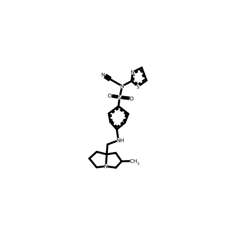 CC1CN2CCCC2(CNc2ccc(S(=O)(=O)N(C#N)c3nccs3)cc2)C1